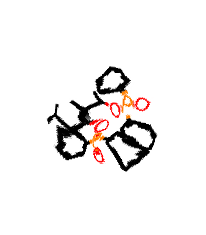 CC(C)CC(OP(=O)(c1ccccc1)c1ccccc1)C(C)C(C)OP(=O)(c1ccccc1)c1ccccc1